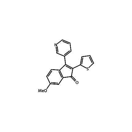 COc1ccc2c(c1)C(=O)C(c1cccs1)=C2c1cccnc1